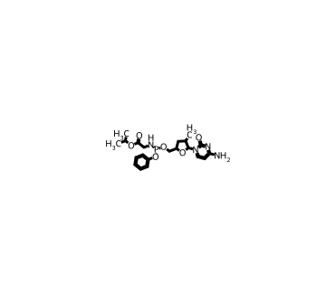 CC(C)OC(=O)CNP(OCC1CC(C)C(n2ccc(N)nc2=O)O1)Oc1ccccc1